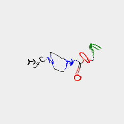 CN1CCN(C(=O)OCF)CC1